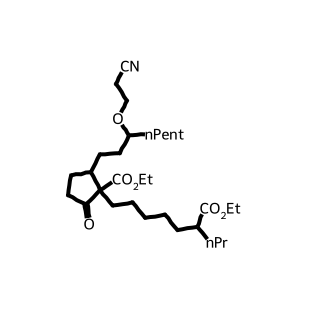 CCCCCC(CCC1CCC(=O)C1(CCCCCC(CCC)C(=O)OCC)C(=O)OCC)OCCC#N